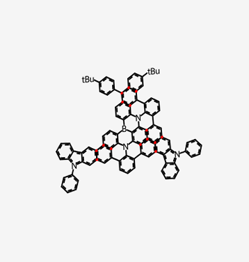 CC(C)(C)c1ccc(C(c2ccc(C(C)(C)C)cc2)c2ccc3c(c2)N(c2c(-c4ccccc4)cccc2-c2ccccc2)c2cc(-c4ccc5c(c4)c4ccccc4n5-c4ccccc4)cc4c2B3c2ccc(-c3ccc5c(c3)c3ccccc3n5-c3ccccc3)cc2N4c2c(-c3ccccc3)cccc2-c2ccccc2)cc1